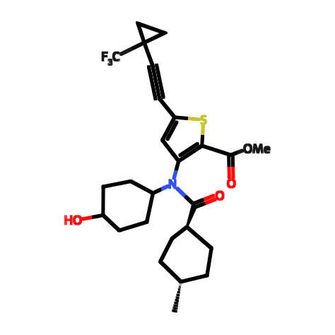 COC(=O)c1sc(C#CC2(C(F)(F)F)CC2)cc1N(C(=O)[C@H]1CC[C@H](C)CC1)C1CCC(O)CC1